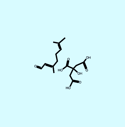 CC(C)=CCCC(C)=CC=O.O=C(O)CC(O)(CC(=O)O)C(=O)O